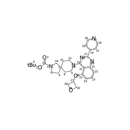 CC(C)(C)OC(=O)N1CCC2(CCN(c3nc(-c4ccncc4)nc4cccc(OC5COC5)c34)CC2)C1